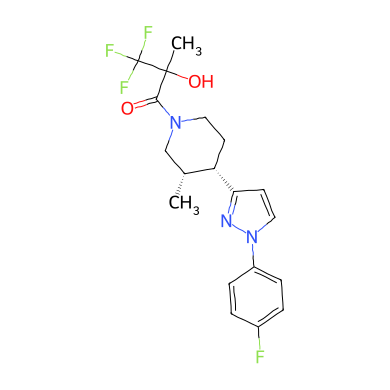 C[C@@H]1CN(C(=O)C(C)(O)C(F)(F)F)CC[C@@H]1c1ccn(-c2ccc(F)cc2)n1